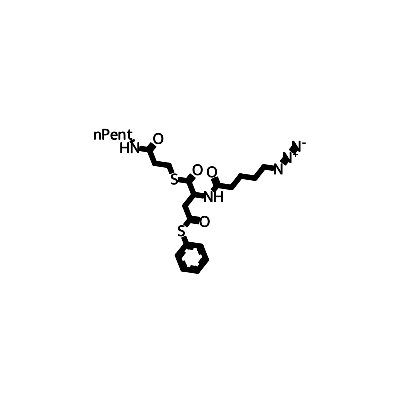 CCCCCNC(=O)CCSC(=O)C(CC(=O)Sc1ccccc1)NC(=O)CCCCN=[N+]=[N-]